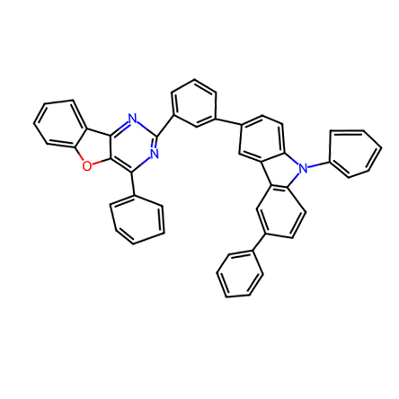 c1ccc(-c2ccc3c(c2)c2cc(-c4cccc(-c5nc(-c6ccccc6)c6oc7ccccc7c6n5)c4)ccc2n3-c2ccccc2)cc1